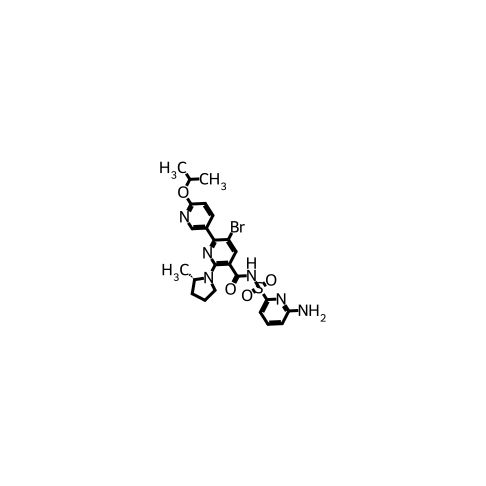 CC(C)Oc1ccc(-c2nc(N3CCC[C@@H]3C)c(C(=O)NS(=O)(=O)c3cccc(N)n3)cc2Br)cn1